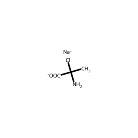 CC(N)(Cl)C(=O)[O-].[Na+]